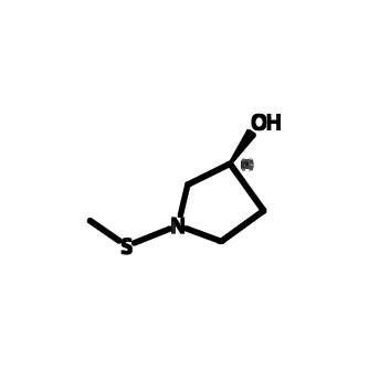 CSN1CC[C@H](O)C1